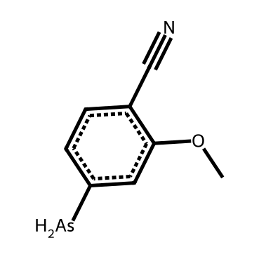 COc1cc([AsH2])ccc1C#N